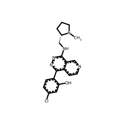 CN1CCC[C@H]1CNc1nnc(-c2ccc(Cl)cc2O)c2ccncc12